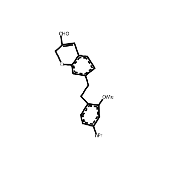 CCCc1ccc(CCc2ccc3c(c2)OCC(C=O)=C3)c(OC)c1